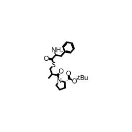 CC(CSC(=O)[C@@H](N)Cc1ccccc1)C(=O)N1CCC[C@H]1C(=O)OC(C)(C)C